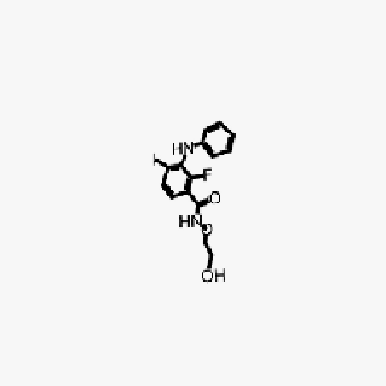 O=C(NOCCO)c1ccc(I)c(Nc2ccccc2)c1F